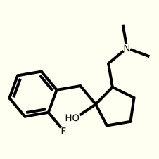 CN(C)CC1CCCC1(O)Cc1ccccc1F